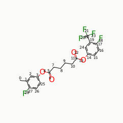 Cc1cc(OC(=O)CCCCC(=O)Oc2ccc(F)c(C(F)(F)F)c2)ccc1F